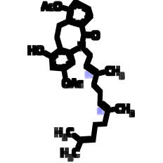 CC(=O)Oc1cc(O)c2c(c1)N(C/C=C(\C)CC/C=C(\C)CCC=C(C)C)C(=O)c1cccc(OC(C)=O)c1CC2